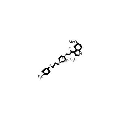 COc1ccc2nccc(C(F)CC[C@@H]3CCN(CCCSc4ccc(C(F)(F)F)cc4)C[C@@H]3C(=O)O)c2c1